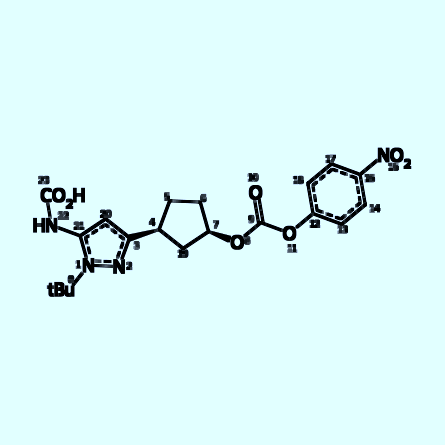 CC(C)(C)n1nc([C@H]2CC[C@@H](OC(=O)Oc3ccc([N+](=O)[O-])cc3)C2)cc1NC(=O)O